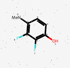 CNc1ccc(O)c(F)c1F